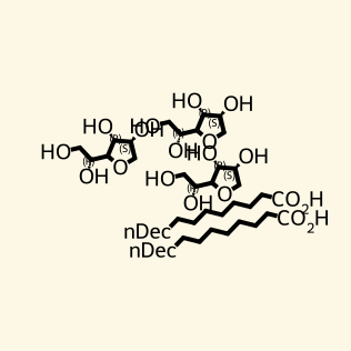 CCCCCCCCCCCCCCCCCC(=O)O.CCCCCCCCCCCCCCCCCC(=O)O.OC[C@@H](O)C1OC[C@H](O)[C@H]1O.OC[C@@H](O)C1OC[C@H](O)[C@H]1O.OC[C@@H](O)C1OC[C@H](O)[C@H]1O